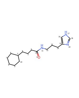 O=C(CCCC1CCCCC1)NCCCc1c[nH]cn1